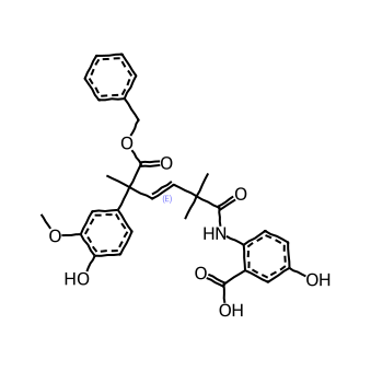 COc1cc(C(C)(/C=C/C(C)(C)C(=O)Nc2ccc(O)cc2C(=O)O)C(=O)OCc2ccccc2)ccc1O